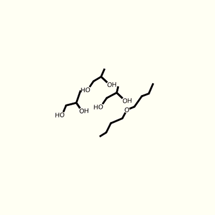 CC(O)CO.CC(O)CO.CC(O)CO.CCCCOCCCC